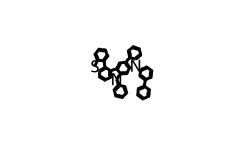 c1ccc(-c2cccc(-n3c4ccccc4c4cc5c6c7c(ccc6n(-c6ccccc6)c5cc43)sc3ccccc37)c2)cc1